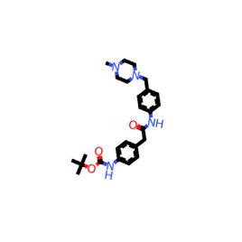 CN1CCN(Cc2ccc(NC(=O)Cc3ccc(NC(=O)OC(C)(C)C)cc3)cc2)CC1